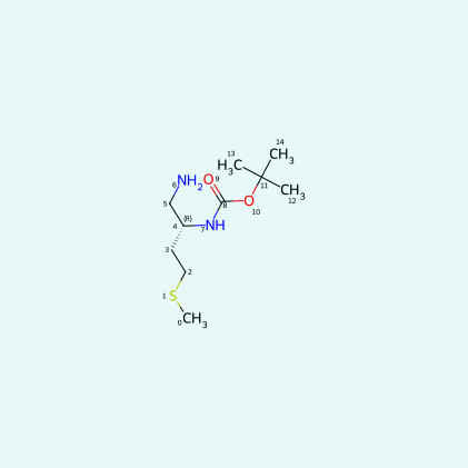 CSCC[C@H](CN)NC(=O)OC(C)(C)C